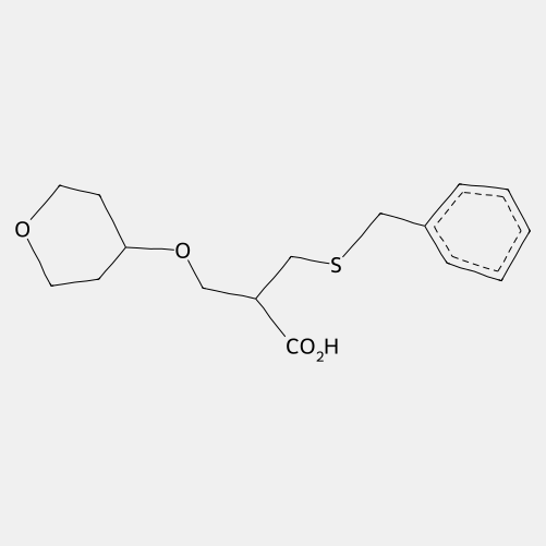 O=C(O)C(COC1CCOCC1)CSCc1ccccc1